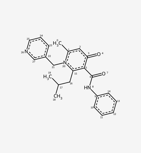 Cc1cc(=O)c(C(=O)Nc2ccccc2)c(CC(C)C)n1Cc1cccnc1